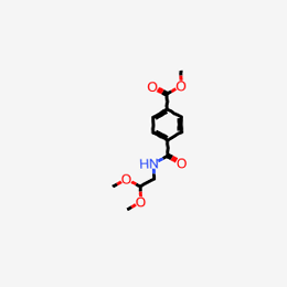 COC(=O)c1ccc(C(=O)NCC(OC)OC)cc1